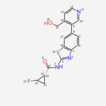 O=C(Nc1nc2ccc(-c3cnccc3CO)cc2s1)[C@@H]1CC1F